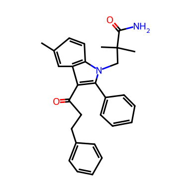 Cc1ccc2c(c1)c(C(=O)CCc1ccccc1)c(-c1ccccc1)n2CC(C)(C)C(N)=O